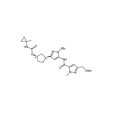 COCc1cc(C(=O)Nc2cc([C@H]3CC[C@@H](OC(=O)NC4(C)CC4)C3)nn2C(C)(C)C)n(C)n1